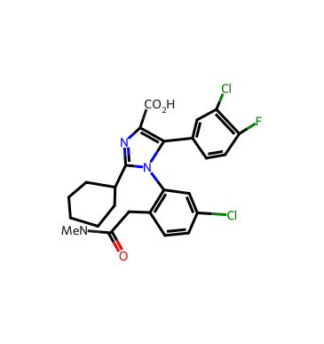 CNC(=O)Cc1ccc(Cl)cc1-n1c(C2CCCCC2)nc(C(=O)O)c1-c1ccc(F)c(Cl)c1